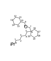 CC(C)CCCCCC1(COCC2CCCCC2)CCCCC1